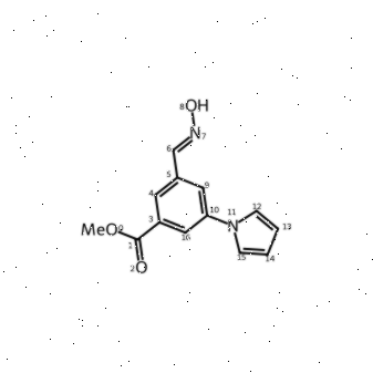 COC(=O)c1cc(C=NO)cc(-n2cccc2)c1